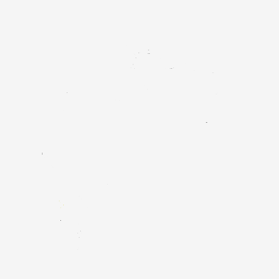 CC1(C)C=CC=C2C=c3cc4c5ccccc5c5cc(-c6cccc(-c7cccc(-c8cccc9c8sc8ccccc89)c7)c6)ccc5c4cc3=C21